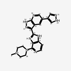 CN1CCN(c2nccc3[nH]c(-c4n[nH]c5ncc(-c6cn[nH]c6)cc45)nc23)CC1